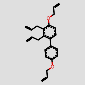 C=CCOc1ccc(-c2ccc(OCC=C)c(CC=C)c2CC=C)cc1